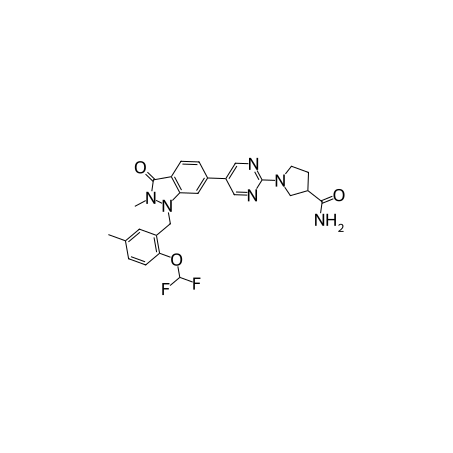 Cc1ccc(OC(F)F)c(Cn2c3cc(-c4cnc(N5CCC(C(N)=O)C5)nc4)ccc3c(=O)n2C)c1